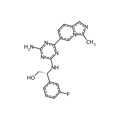 Cc1ncc2ccc(-c3nc(N)nc(N[C@@H](CO)c4cccc(F)c4)n3)cn12